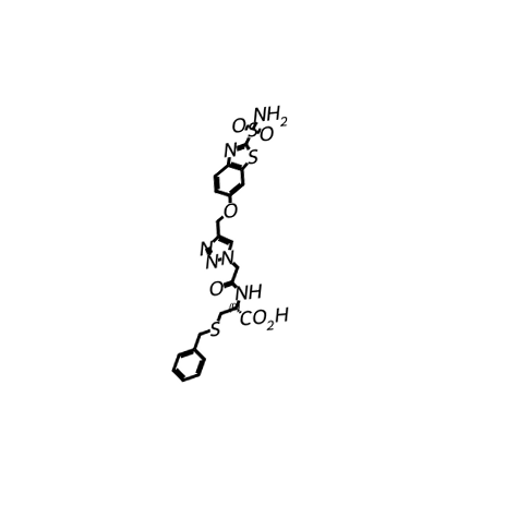 NS(=O)(=O)c1nc2ccc(OCc3cn(CC(=O)N[C@@H](CSCc4ccccc4)C(=O)O)nn3)cc2s1